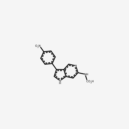 O=C(O)Nc1cc2[nH]cc(-c3ccc([N+](=O)[O-])cc3)c2cn1